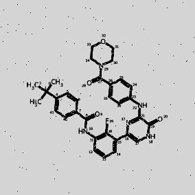 CC(C)(C)c1ccc(C(=O)Nc2cccc(-c3c[nH]c(=O)c(Nc4ccc(C(=O)N5CCOCC5)cc4)n3)c2F)cc1